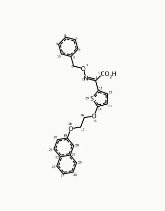 O=C(O)C(=NOCc1ccccc1)c1ccc(OCCOc2ccc3ccccc3c2)s1